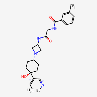 C/C=C(\C=N/CC)[C@]1(O)CC[C@H](N2CC(NC(=O)CNC(=O)c3cccc(C(F)(F)F)c3)C2)CC1